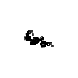 O=C(c1cnc2c(ccn2-c2cnn(CC(F)(F)F)c2)c1)N1CCCC(C(F)(F)F)C1